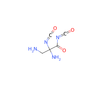 NCC(N)(N=C=O)C(=O)N=C=O